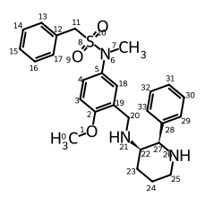 COc1ccc(N(C)S(=O)(=O)Cc2ccccc2)cc1CN[C@@H]1CCCN[C@@H]1c1ccccc1